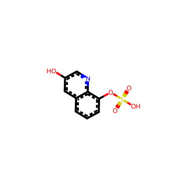 O=S(=O)(O)Oc1cccc2cc(O)cnc12